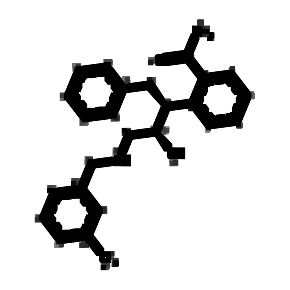 NC(=O)c1ccccc1[C@H](Cc1ccccc1)[C@@H](O)CNCc1cccc(C(F)(F)F)c1